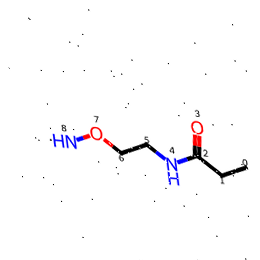 CCC(=O)NCCO[NH]